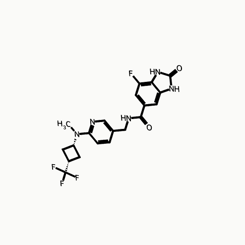 CN(c1ccc(CNC(=O)c2cc(F)c3[nH]c(=O)[nH]c3c2)cn1)[C@H]1C[C@@H](C(F)(F)F)C1